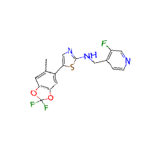 Cc1cc2c(cc1-c1cnc(NCc3ccncc3F)s1)OC(F)(F)O2